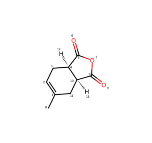 CC1=CC[C@H]2C(=O)OC(=O)[C@H]2C1